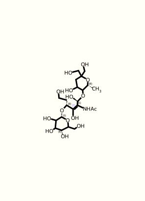 CC(=O)N/C(=C(\O)[C@@H](CCO)O[C@@H]1OC(CO)[C@H](O)C(O)C1O)[C@@H](O)OC1C(O)CC(CO)(CO)O[C@@H]1C